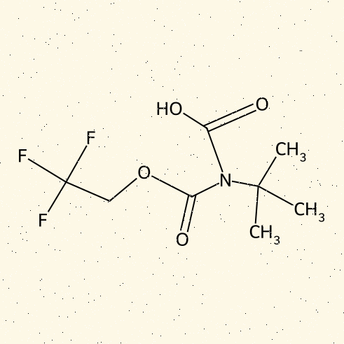 CC(C)(C)N(C(=O)O)C(=O)OCC(F)(F)F